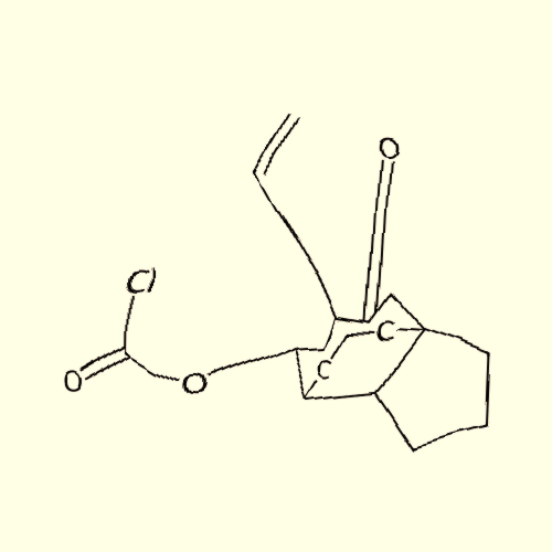 C=CC1CC(OC(=O)Cl)C2CCCC3(CCCC23)CC1=O